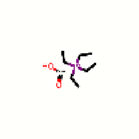 CC[P+](CC)(CC)CC.O=[C-]O